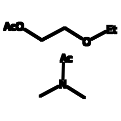 CC(=O)N(C)C.CCOCCOC(C)=O